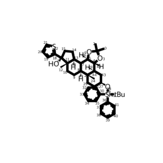 CC1(C)O[C@H]2[C@H](O1)C1[C@H](CC[C@@]3(C)[C@H]1CC[C@@]3(O)c1cccs1)[C@@]1(C)CC[C@H](O[Si](c3ccccc3)(c3ccccc3)C(C)(C)C)C[C@H]21